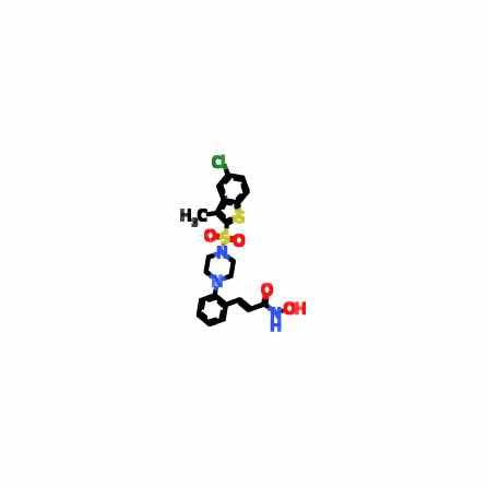 Cc1c(S(=O)(=O)N2CCN(c3ccccc3/C=C/C(=O)NO)CC2)sc2ccc(Cl)cc12